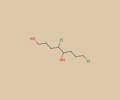 OCCCC(Cl)C(O)CCCCl